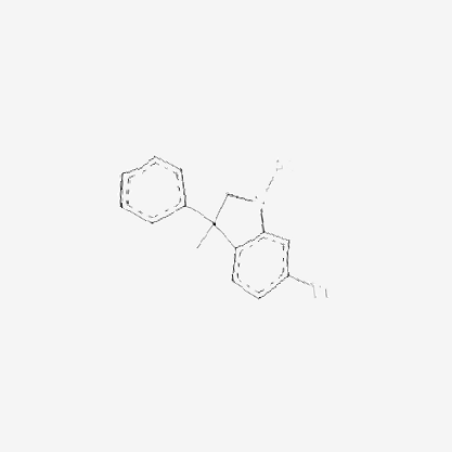 CC(=O)N1CC(C)(c2ccccc2)c2ccc(Br)cc21